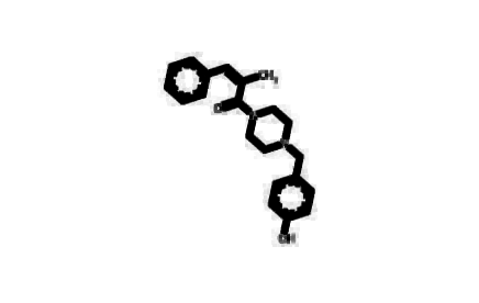 CC(=Cc1ccccc1)C(=O)N1CCN(Cc2ccc(O)cc2)CC1